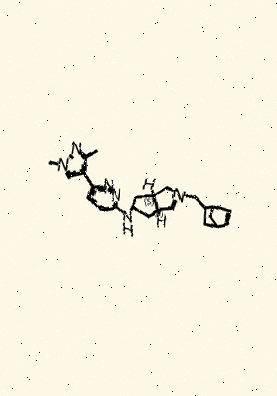 Cc1nn(C)cc1-c1ccc(NC2C[C@@H]3CN(CC4CC5C=CC4C5)C[C@@H]3C2)nn1